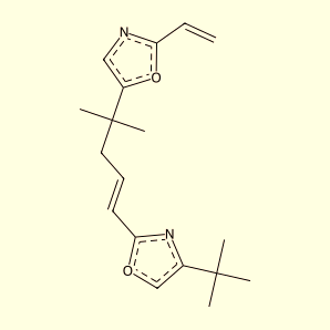 C=Cc1ncc(C(C)(C)C/C=C/c2nc(C(C)(C)C)co2)o1